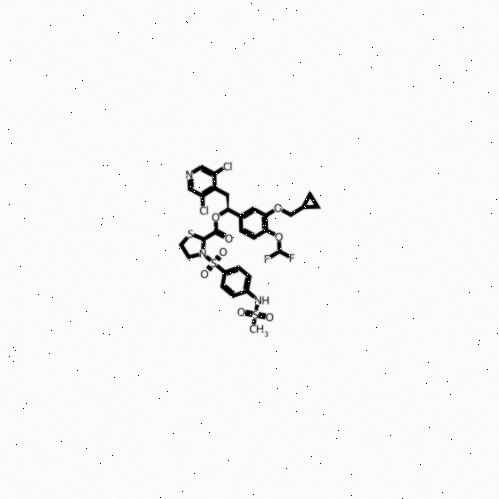 CS(=O)(=O)Nc1ccc(S(=O)(=O)N2CCSC2C(=O)O[C@@H](Cc2c(Cl)cncc2Cl)c2ccc(OC(F)F)c(OCC3CC3)c2)cc1